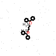 c1ccc(C(O[SiH2]CCC[SiH2]OC(c2ccccc2)c2ccccc2)c2ccccc2)cc1